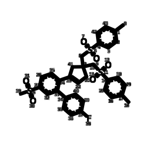 Cc1ccc(S(=O)(=O)CC2(CS(=O)(=O)c3ccc(C)cc3)CC=C(c3ccc(S(C)(=O)=O)cc3-c3ccc(F)cc3)C2)cc1